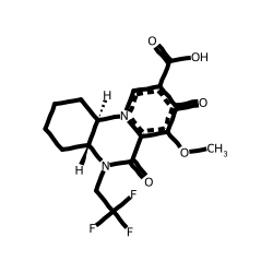 COc1c2n(cc(C(=O)O)c1=O)[C@@H]1CCCC[C@H]1N(CC(F)(F)F)C2=O